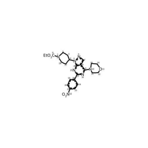 CCOC(=O)N1CCC(n2ncc3c(N4CCOCC4)nc(-c4ccc([N+](=O)[O-])cc4)nc32)CC1